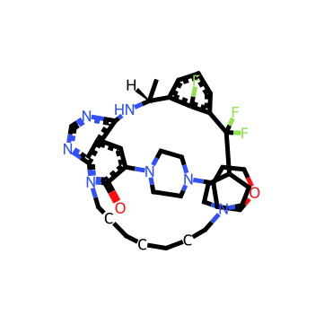 C[C@H]1Nc2ncnc3c2cc(N2CCN(C4CCOCC4)CC2)c(=O)n3CCCCCCCN2CCC(CC2)C(F)(F)c2cccc1c2F